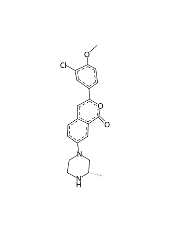 COc1ccc(-c2cc3ccc(N4CCN[C@@H](C)C4)cc3c(=O)o2)cc1Cl